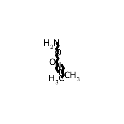 CC(C)N1CCN(C(=O)CCOCCN)CC1